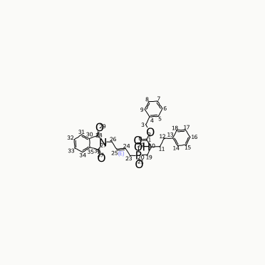 O=C(OCc1ccccc1)C(CCc1ccccc1)CP(=O)(O)C/C=C/CN1C(=O)c2ccccc2C1=O